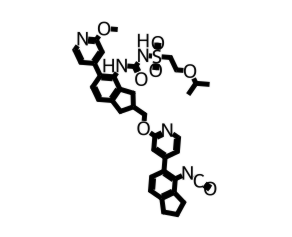 COc1cc(-c2ccc3c(c2NC(=O)NS(=O)(=O)CCOC(C)C)CC(COc2cc(-c4ccc5c(c4N=C=O)CCC5)ccn2)C3)ccn1